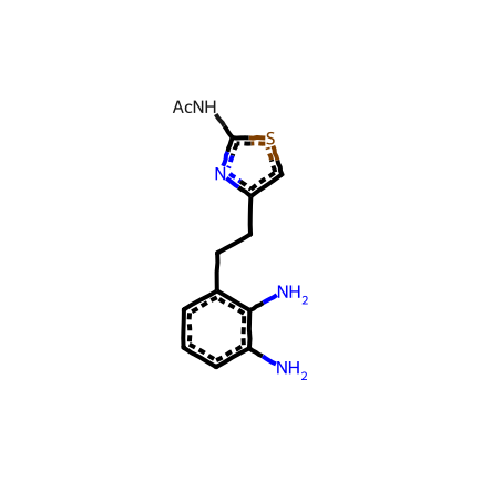 CC(=O)Nc1nc(CCc2cccc(N)c2N)cs1